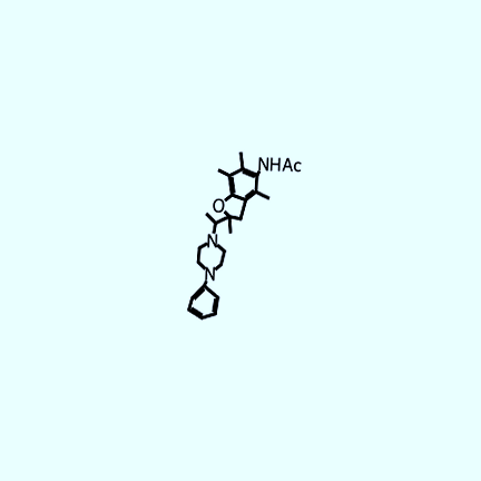 CC(=O)Nc1c(C)c(C)c2c(c1C)CC(C)(C(C)N1CCN(c3ccccc3)CC1)O2